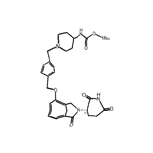 CC(C)(C)OC(=O)NC1CCN(Cc2ccc(COc3cccc4c3CN([C@H]3CCC(=O)NC3=O)C4=O)cc2)CC1